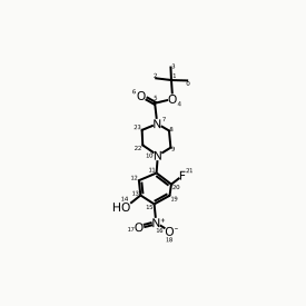 CC(C)(C)OC(=O)N1CCN(c2cc(O)c([N+](=O)[O-])cc2F)CC1